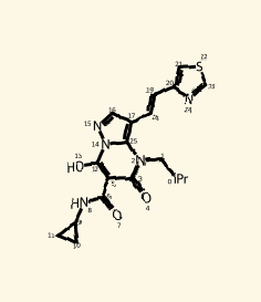 CC(C)Cn1c(=O)c(C(=O)NC2CC2)c(O)n2ncc(C=Cc3cscn3)c12